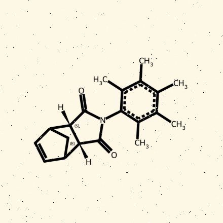 Cc1c(C)c(C)c(N2C(=O)[C@@H]3C4C=CC(C4)[C@@H]3C2=O)c(C)c1C